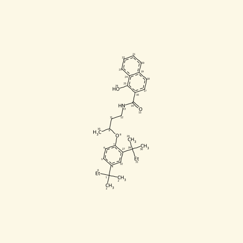 CCC(C)(C)c1ccc(OC(C)CCNC(=O)c2ccc3ccccc3c2O)c(C(C)(C)CC)c1